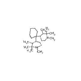 CC1C(C2(C3CCN(C)C(C)(C)C3C)CCCCC2)CCN(C)C1(C)C